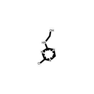 OCNc1n[c]nc(Cl)n1